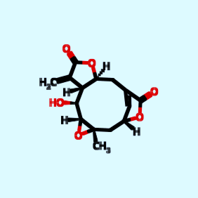 C=C1C(=O)O[C@H]2CC3=C[C@@H](C[C@]4(C)O[C@@H]4[C@@H](O)[C@H]12)OC3=O